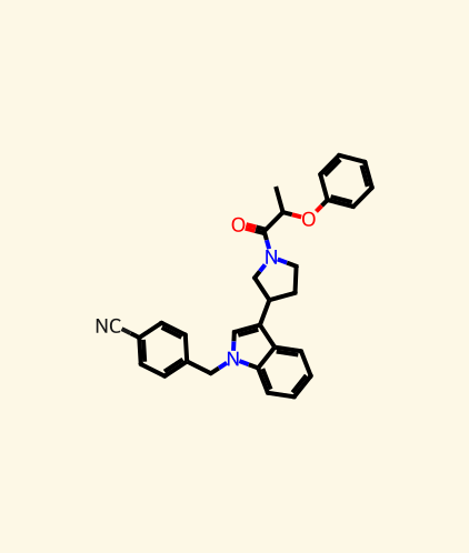 CC(Oc1ccccc1)C(=O)N1CCC(c2cn(Cc3ccc(C#N)cc3)c3ccccc23)C1